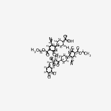 CCOC(=O)c1cc(C#N)c(N2CCC(C(=O)NS(=O)(=O)Cc3ccc(Cl)c(Cl)c3)CC2)nc1C.CCOC(=O)c1cc(C#N)c(N2CCC(C(=O)O)CC2)nc1C